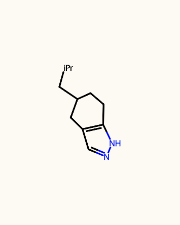 CC(C)CC1CCc2[nH]ncc2C1